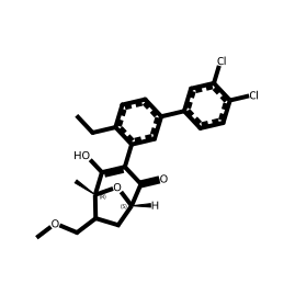 CCc1ccc(-c2ccc(Cl)c(Cl)c2)cc1C1=C(O)[C@]2(C)O[C@@H](CC2COC)C1=O